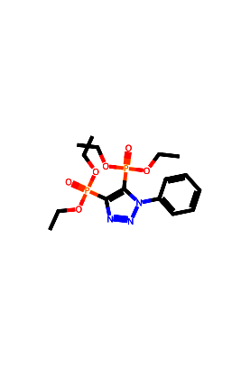 CCOP(=O)(OCC)c1nnn(-c2ccccc2)c1P(=O)(OCC)OCC